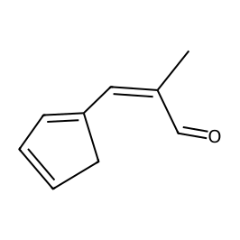 CC(C=O)=CC1=CC=CC1